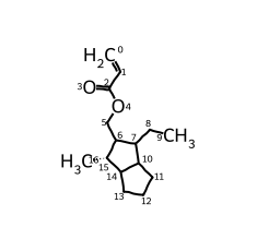 C=CC(=O)OCC1C(CC)C2CCCC2[C@@H]1C